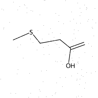 C=C(O)CCSC